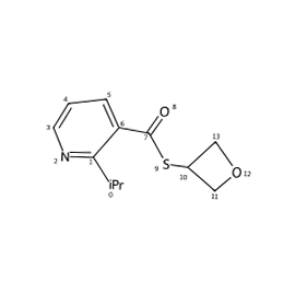 CC(C)c1ncccc1C(=O)SC1COC1